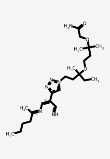 CCCC/C(C)=N/C=C(\C=N)c1cn(CCC(C)(CC)OCCC(C)(C)OCC(N)=O)nn1